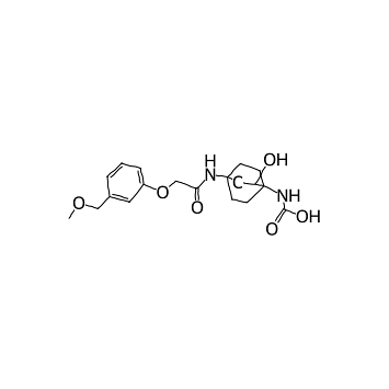 COCc1cccc(OCC(=O)NC23CCC(NC(=O)O)(CC2)C(O)C3)c1